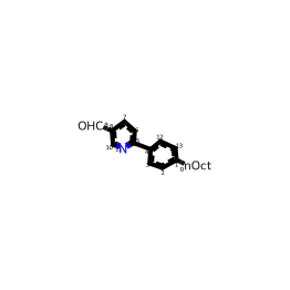 CCCCCCCCc1ccc(-c2ccc(C=O)cn2)cc1